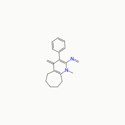 C=NC1=C(c2ccccc2)C(=C)C2=C(CCCCC2)N1C